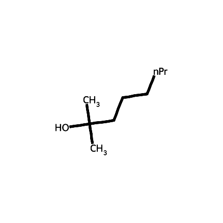 C[CH]CCCCC(C)(C)O